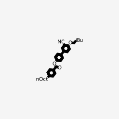 CCCCCCCCc1ccc(C(=O)Oc2ccc(-c3ccc(OCC(C)CC)c(C#N)c3)cc2)cc1